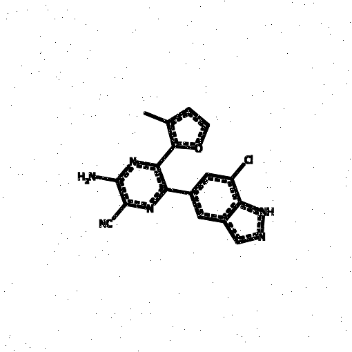 Cc1ccoc1-c1nc(N)c(C#N)nc1-c1cc(Cl)c2[nH]ncc2c1